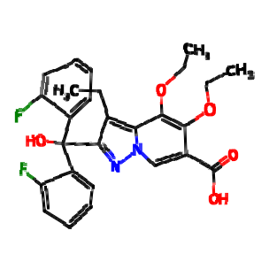 CCOc1c(C(=O)O)cn2nc(C(O)(c3ccccc3F)c3ccccc3F)c(CC)c2c1OCC